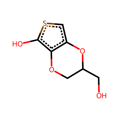 OCC1COc2c(csc2O)O1